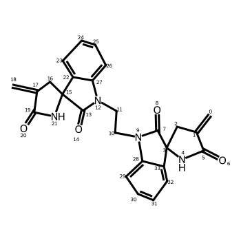 C=C1CC2(NC1=O)C(=O)N(CCN1C(=O)C3(CC(=C)C(=O)N3)c3ccccc31)c1ccccc12